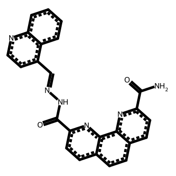 NC(=O)c1ccc2ccc3ccc(C(=O)N/N=C/c4ccnc5ccccc45)nc3c2n1